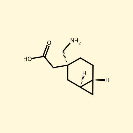 NC[C@]1(CC(=O)O)CC[C@@H]2C[C@H]2C1